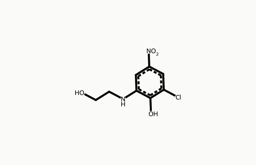 O=[N+]([O-])c1cc(Cl)c(O)c(NCCO)c1